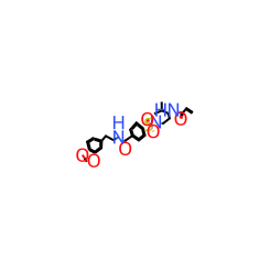 C=CC(=O)NC1CCN(S(=O)(=O)c2ccc(C(=O)NCCc3ccc4c(c3)OCO4)cc2)CC1C